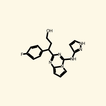 OCCC(c1ccc(F)cc1)c1nc(Nc2cc[nH]n2)n2cccc2n1